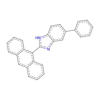 c1ccc(-c2ccc3[nH]c(-c4c5ccccc5cc5ccccc45)nc3c2)cc1